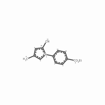 CCOC(=O)c1ccc(-n2cc(C)cc2C#N)cc1